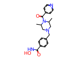 CC1CN(Cc2ccc(C(=O)NO)cc2)CC(C)N1C(=O)c1ccncc1